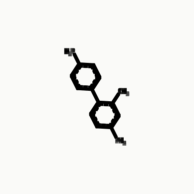 Cc1cc(P)ccc1-c1ccc(P)cc1